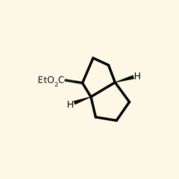 CCOC(=O)C1CC[C@@H]2CCC[C@H]12